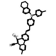 [C-]#[N+]C1=C(C#N)C2C=C(C)C=CC2c2ccc(C=Cc3ccc(N(c4ccc(C)cc4)c4ccc5c(c4)CCCC5)cc3)cc21